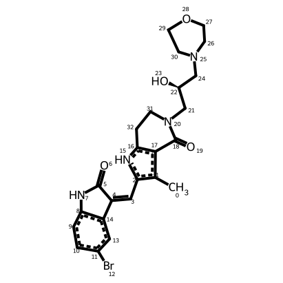 Cc1c(/C=C2\C(=O)Nc3ccc(Br)cc32)[nH]c2c1C(=O)N(C[C@@H](O)CN1CCOCC1)CC2